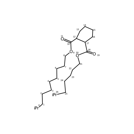 CC(C)CCCCCCCCOC(=O)C1CCCCC1C(=O)OCCCCCC(C)C